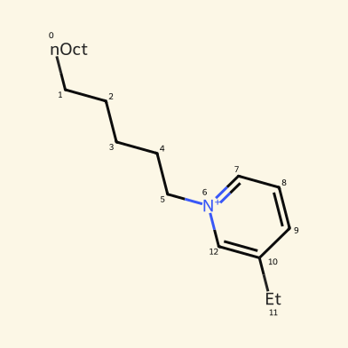 CCCCCCCCCCCCC[n+]1cccc(CC)c1